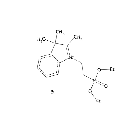 CCOP(=O)(CC[N+]1=C(C)C(C)(C)c2ccccc21)OCC.[Br-]